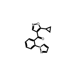 O=C(c1ccccc1-n1cccn1)c1cnoc1C1CC1